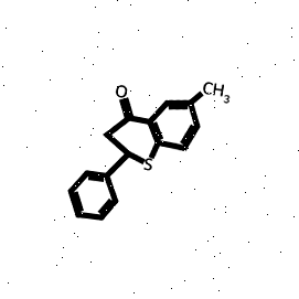 Cc1ccc2c(c1)C(=O)CC(c1ccccc1)S2